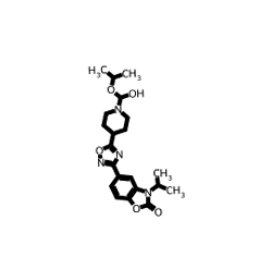 CC(C)OC(O)N1CCC(c2nc(-c3ccc4oc(=O)n(C(C)C)c4c3)no2)CC1